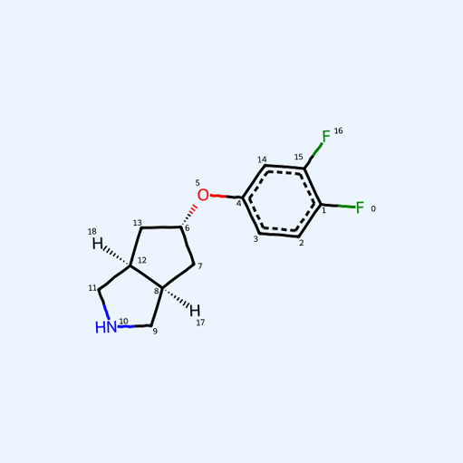 Fc1ccc(O[C@@H]2C[C@H]3CNC[C@H]3C2)cc1F